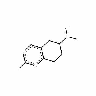 CCCN(CCC)C1CCc2nc(O)ncc2C1